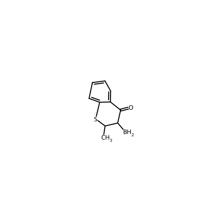 BC1C(=O)c2ccccc2SC1C